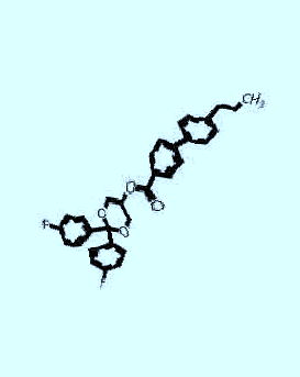 CCCc1ccc(-c2ccc(C(=O)OC3COC(c4ccc(F)cc4)(c4ccc(F)cc4)OC3)cc2)cc1